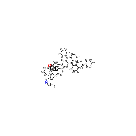 C/N=C\C1CCC2C3CCCCC3C3(C4CC(C5CCC6C(C5)C(C5CCCCC5)C5CCCCC5C6C5CCCC6CC(C7CCCCC7)CCC65)CCC4OC4CCCCC43C)C2C1